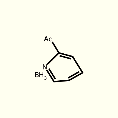 B.CC(=O)c1ccccn1